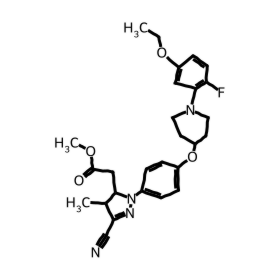 CCOc1ccc(F)c(N2CCC(Oc3ccc(N4N=C(C#N)C(C)C4CC(=O)OC)cc3)CC2)c1